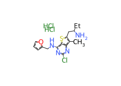 CCC(N)Cc1sc2c(NCc3ccco3)nc(Cl)nc2c1C.Cl.Cl